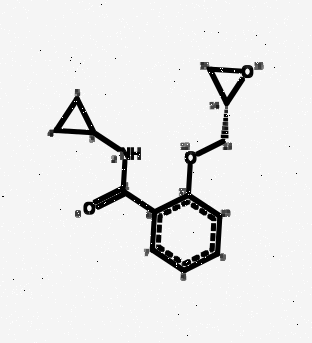 O=C(NC1CC1)c1ccccc1OC[C@@H]1CO1